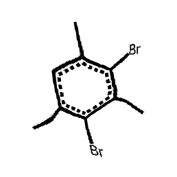 Cc1cc(C)c(Br)c(C)c1Br